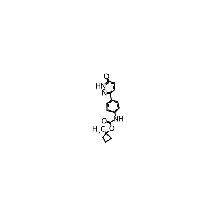 CC1(OC(=O)Nc2ccc(-c3ccc(=O)[nH]n3)cc2)CCC1